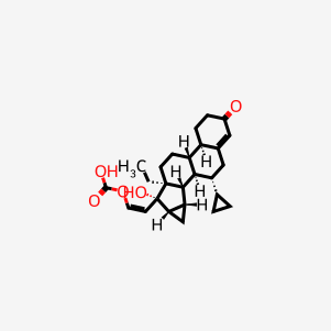 CC[C@]12CC[C@H]3[C@H]([C@@H]1[C@@H]1C[C@@H]1[C@@]2(O)/C=C\OC(=O)O)[C@@H](C1CC1)CC1=CC(=O)CC[C@@H]13